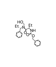 CCC(NC(=O)OCc1ccccc1)C(=O)N(CO)[C@@H](CC)c1ccccc1